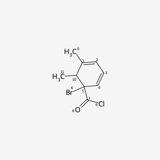 CC1=CC=CC(Br)(C(=O)Cl)C1C